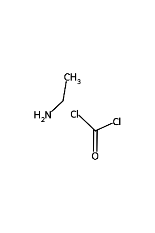 CCN.O=C(Cl)Cl